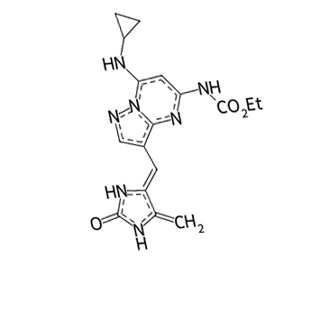 C=c1[nH]c(=O)[nH]/c1=C\c1cnn2c(NC3CC3)cc(NC(=O)OCC)nc12